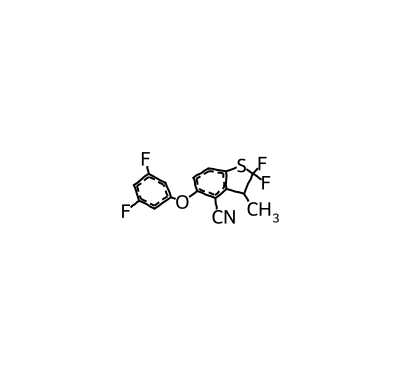 CC1c2c(ccc(Oc3cc(F)cc(F)c3)c2C#N)SC1(F)F